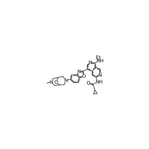 CCNc1ncc(-c2nc3cc(N4CC5CN(C)CC(C4)O5)ccc3o2)c2cc(NC(=O)C3CC3)ncc12